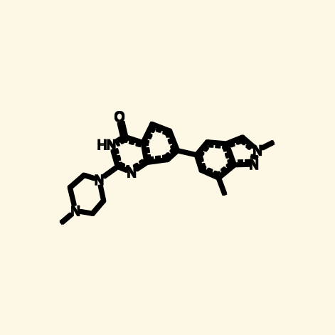 Cc1cc(-c2ccc3c(=O)[nH]c(N4CCN(C)CC4)nc3c2)cc2cn(C)nc12